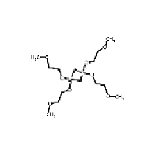 COCCO[Si]1(OCCOC)C[Si](OCCOC)(OCCOC)C1